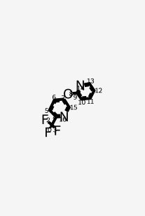 FC(F)(F)c1ccc(Oc2ccccn2)cn1